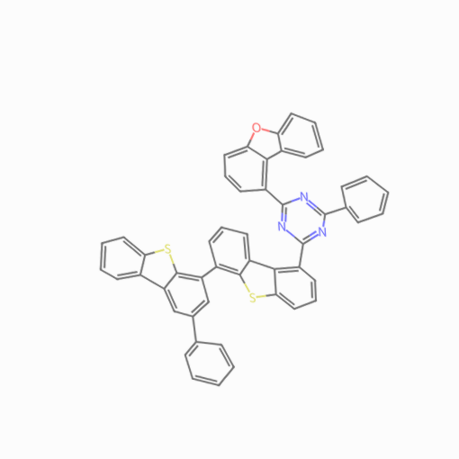 c1ccc(-c2cc(-c3cccc4c3sc3cccc(-c5nc(-c6ccccc6)nc(-c6cccc7oc8ccccc8c67)n5)c34)c3sc4ccccc4c3c2)cc1